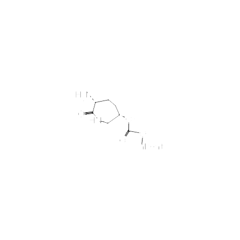 CCCCCOC(=O)O[C@@H]1CC[C@H](N)C(=O)NC1